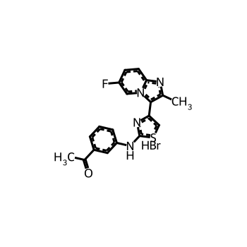 Br.CC(=O)c1cccc(Nc2nc(-c3c(C)nc4ccc(F)cn34)cs2)c1